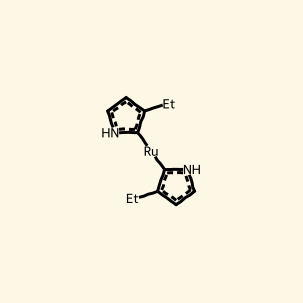 CCc1cc[nH][c]1[Ru][c]1[nH]ccc1CC